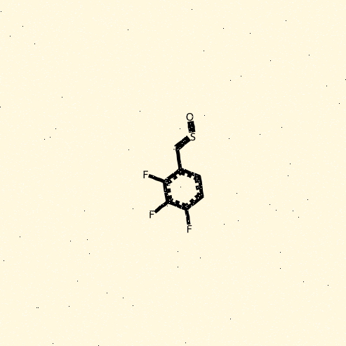 O=S=[C]c1ccc(F)c(F)c1F